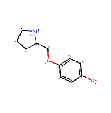 Oc1ccc(OCC2CCCN2)cc1